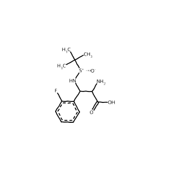 CC(C)(C)[S@+]([O-])NC(c1ccccc1F)C(N)C(=O)O